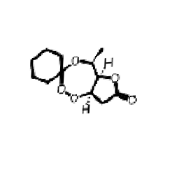 C[C@@H]1OC2(CCCCC2)OO[C@@H]2CC(=O)O[C@H]12